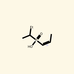 C/C=C\P(=O)(O)C(C)CC